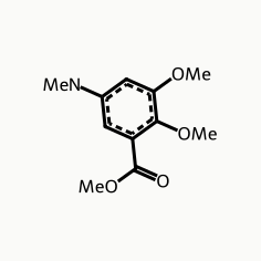 CNc1cc(OC)c(OC)c(C(=O)OC)c1